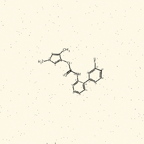 Cc1cn(C)cc1OC(=O)Nc1ccccc1-c1cccc(F)c1